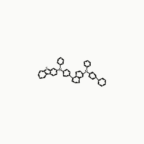 c1ccc(-c2ccc(N(c3ccccc3)c3ccc4c(-c5ccc(N(c6ccccc6)c6ccc7c(c6)sc6ccccc67)cc5)cccc4c3)cc2)cc1